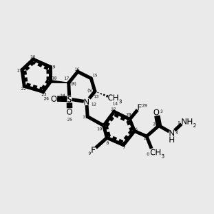 CC(C(=O)NN)c1cc(F)c(CN2[C@@H](C)CC[C@H](c3ccccc3)S2(=O)=O)cc1F